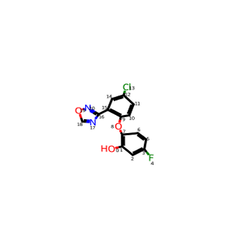 Oc1cc(F)ccc1Oc1ccc(Cl)cc1-c1ncon1